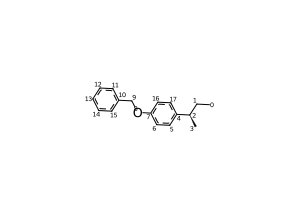 CC[C@@H](C)c1ccc(OCc2ccccc2)cc1